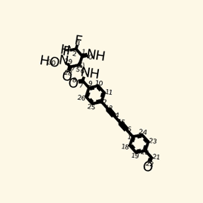 N=C(C(F)F)[C@H](NC(=O)c1ccc(C#CC#Cc2ccc(C=O)cc2)cc1)C(=O)NO